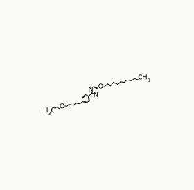 CCCCCCCCCC=CCOc1cnc(-c2ccc(CCCCCOCCC)cc2)nc1